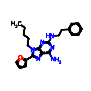 CCCCCn1c(-c2ccco2)nc2c(N)nc(NCCc3ccccc3)nc21